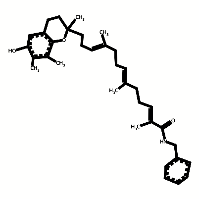 C/C(=C\CC/C(C)=C/CCC1(C)CCc2cc(O)c(C)c(C)c2O1)CC/C=C(\C)C(=O)NCc1ccccc1